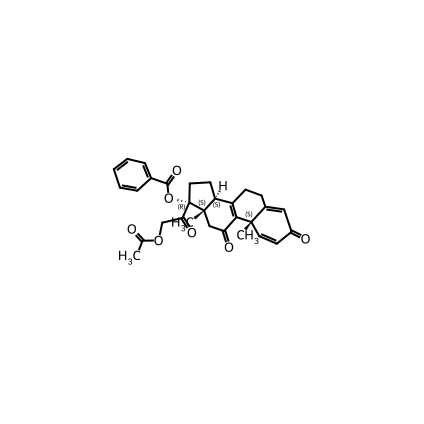 CC(=O)OCC(=O)[C@@]1(OC(=O)c2ccccc2)CC[C@H]2C3=C(C(=O)C[C@@]21C)[C@@]1(C)C=CC(=O)C=C1CC3